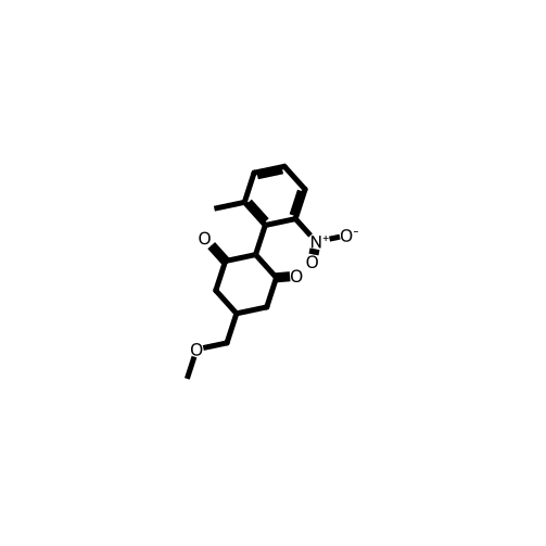 COCC1CC(=O)C(c2c(C)cccc2[N+](=O)[O-])C(=O)C1